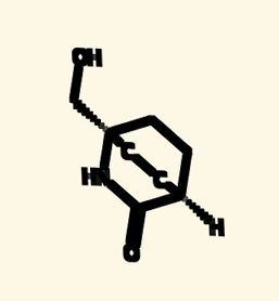 O=C1N[C@]2(CO)CC[C@H]1CC2